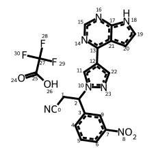 N#CCC(c1cccc([N+](=O)[O-])c1)n1cc(-c2ncnc3[nH]ccc23)cn1.O=C(O)C(F)(F)F